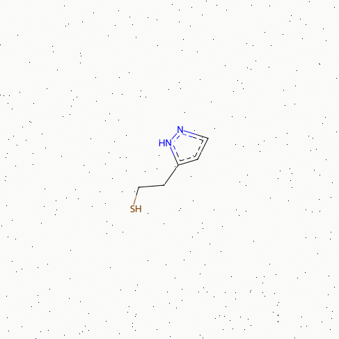 SCCc1ccn[nH]1